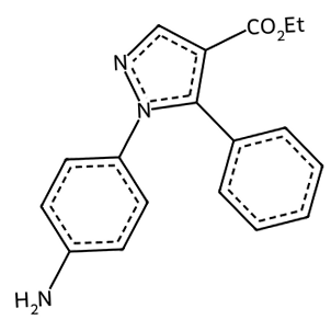 CCOC(=O)c1cnn(-c2ccc(N)cc2)c1-c1ccccc1